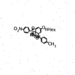 CCCCCCOC1=CC(C(=O)c2ccc(C)cc2)C(NN)(S(=O)(=O)c2ccc([N+](=O)[O-])cc2)C=C1